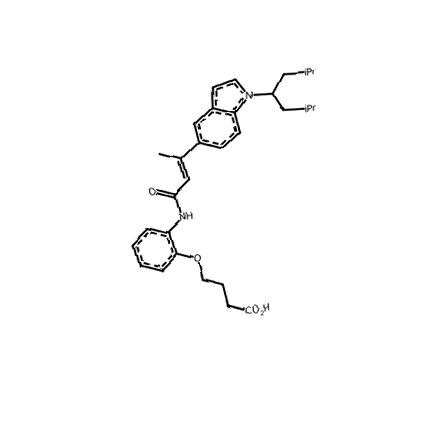 CC(=CC(=O)Nc1ccccc1OCCCC(=O)O)c1ccc2c(ccn2C(CC(C)C)CC(C)C)c1